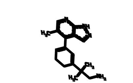 Cc1cnc2[nH]ncc2c1C1=CCCC(C(C)(C)CN)=C1